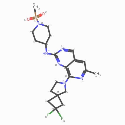 Cc1cc2cnc(NC3CCN(S(C)(=O)=O)CC3)nc2c(N2CCC3(C2)CC(F)(F)C3)n1